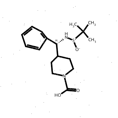 CC(C)(C)[S+]([O-])N[C@@H](c1ccccc1)C1CCN(C(=O)O)CC1